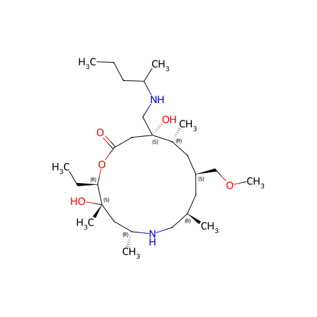 CCCC(C)NC[C@]1(O)CC(=O)O[C@H](CC)[C@@](C)(O)C[C@@H](C)NC[C@H](C)C[C@H](COC)C[C@H]1C